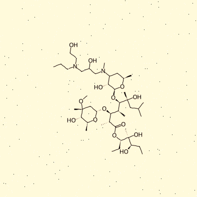 CCCN(CCO)CC(O)CN(C)C1C[C@@H](C)O[C@@H](O[C@H]([C@@H](C)[C@H](O[C@H]2C[C@@](C)(OC)[C@@H](O)[C@H](C)O2)[C@@H](C)C(=O)O[C@H](CC)[C@@](C)(O)[C@H](O)CC)[C@](C)(O)CC(C)C)[C@@H]1O